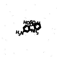 Nc1ccc(Oc2ccccc2)c(N)c1.O=S(=O)(O)O